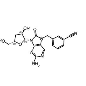 N#Cc1cccc(Cn2c(=O)n([C@@H]3O[C@H](CO)C[C@H]3O)c3nc(N)ncc32)c1